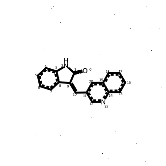 O=C1Nc2ccccc2C1=Cc1cnc2ccccc2c1